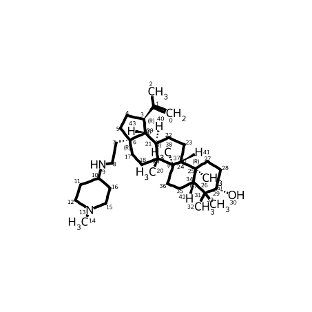 C=C(C)[C@@H]1CC[C@]2(CCNC3CCN(C)CC3)CC[C@]3(C)[C@H](CC[C@@H]4[C@@]5(C)CC[C@H](O)C(C)(C)[C@@H]5CC[C@]43C)[C@@H]12